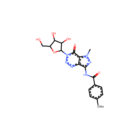 COc1ccc(C(=O)Nc2nn(C)c3c(=O)n(C4OC(CO)C(O)C4O)nnc23)cc1